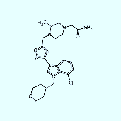 CC1CN(CC(N)=O)CCN1Cc1nc(-c2cn(CC3CCOCC3)c3c(Cl)cccc23)no1